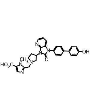 Cn1c(C(=O)O)cnc1CN1CCC(n2c(=O)n(-c3ccc(-c4ccc(O)cc4)cc3)c3cccnc32)C1